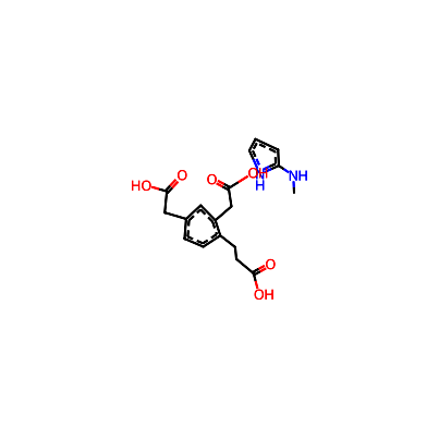 CNc1ccc[nH]1.O=C(O)CCc1ccc(CC(=O)O)cc1CC(=O)O